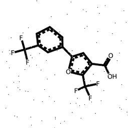 O=C(O)c1cc(-c2cccc(C(F)(F)F)c2)oc1C(F)(F)F